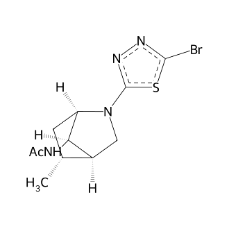 CC(=O)N[C@@H]1[C@H]2CN(c3nnc(Br)s3)[C@@H]1C[C@H]2C